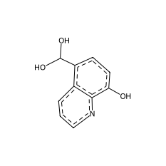 Oc1ccc(C(O)O)c2cccnc12